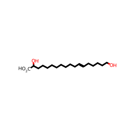 O=C(O)C(O)CCCCCCCCCC=CCCCCCO